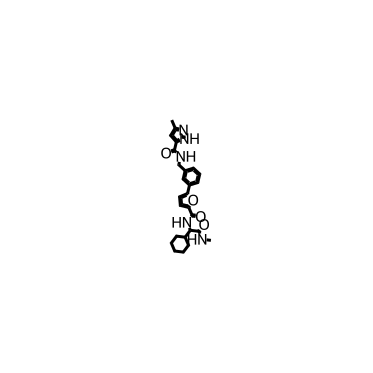 CNC(=O)C(NC(=O)c1ccc(-c2cccc(CNC(=O)c3cc(C)n[nH]3)c2)o1)C1CCCCC1